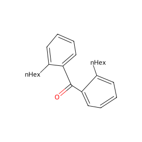 CCCCCCc1ccccc1C(=O)c1ccccc1CCCCCC